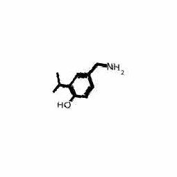 CC(C)c1cc(CN)ccc1O